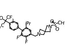 CC(C)c1cc(CN2CC3(C2)CN(S(C)(=O)=O)C3)c(F)c(F)c1-c1ccc(C(O)(C(F)(F)F)C(F)(F)F)cc1